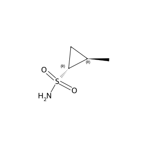 C[C@@H]1C[C@H]1S(N)(=O)=O